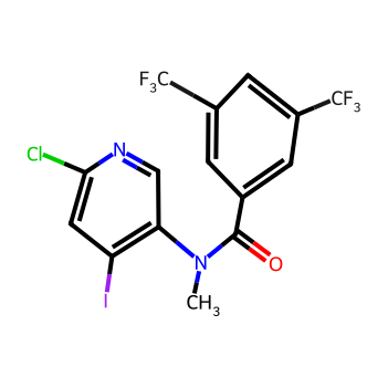 CN(C(=O)c1cc(C(F)(F)F)cc(C(F)(F)F)c1)c1cnc(Cl)cc1I